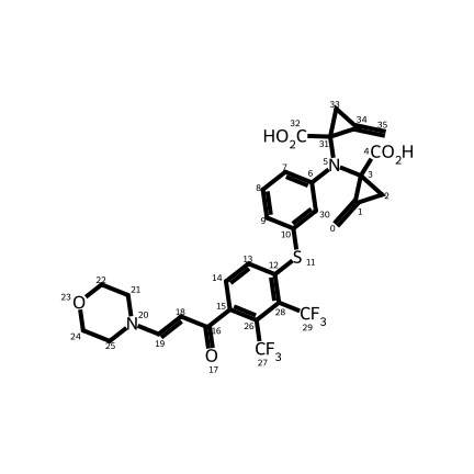 C=C1CC1(C(=O)O)N(c1cccc(Sc2ccc(C(=O)C=CN3CCOCC3)c(C(F)(F)F)c2C(F)(F)F)c1)C1(C(=O)O)CC1=C